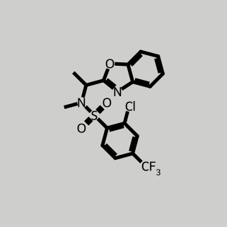 CC(c1nc2ccccc2o1)N(C)S(=O)(=O)c1ccc(C(F)(F)F)cc1Cl